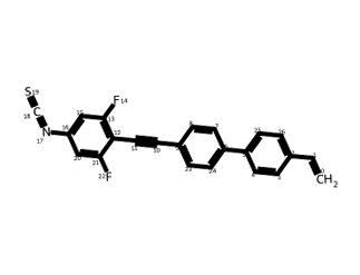 C=Cc1ccc(-c2ccc(C#Cc3c(F)cc(N=C=S)cc3F)cc2)cc1